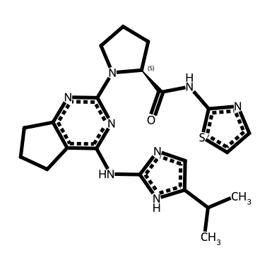 CC(C)c1cnc(Nc2nc(N3CCC[C@H]3C(=O)Nc3nccs3)nc3c2CCC3)[nH]1